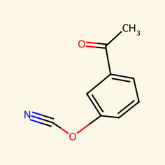 CC(=O)c1cccc(OC#N)c1